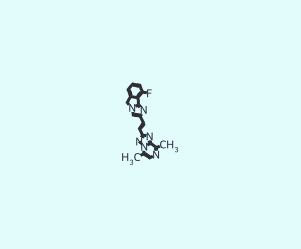 Cc1ncc(C)n2nc(C=Cc3cn4c(n3)-c3c(F)cccc3C4)nc12